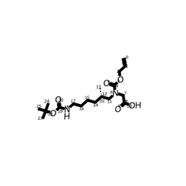 C=CCOC(=O)N(CC(=O)O)C[C@@H](C)CCCCNC(=O)OC(C)(C)C